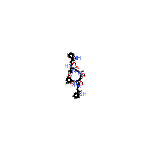 CN1CC(=O)N2C[C@@H](NC(=O)Cc3c[nH]c4ccccc34)C[C@H]2COc2ccc(F)cc2C(=O)N(C)[C@H](C(=O)NCCc2c[nH]c3ccccc23)CCC1=O